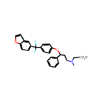 CN(CCC(Oc1ccc(C(F)(F)c2ccc3occc3c2)cc1)c1ccccc1)CC(=O)O